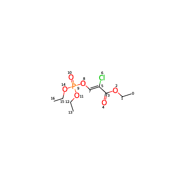 CCOC(=O)/C(Cl)=C/OP(=O)(OCC)OCC